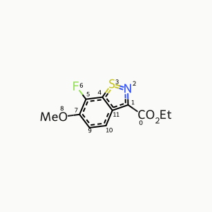 CCOC(=O)c1nsc2c(F)c(OC)ccc12